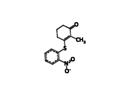 CC1=C(Sc2ccccc2[N+](=O)[O-])CCCC1=O